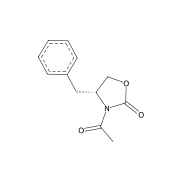 CC(=O)N1C(=O)OC[C@H]1Cc1ccccc1